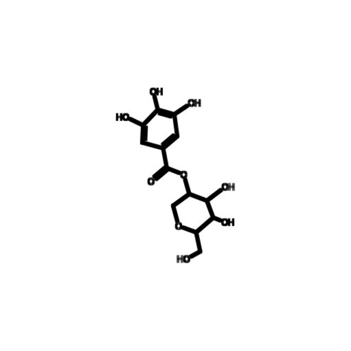 O=C(OC1COC(CO)C(O)C1O)c1cc(O)c(O)c(O)c1